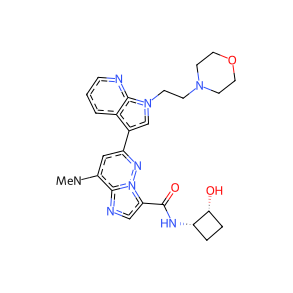 CNc1cc(-c2cn(CCN3CCOCC3)c3ncccc23)nn2c(C(=O)N[C@H]3CC[C@H]3O)cnc12